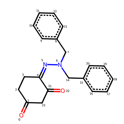 O=C1CC/C(=N/N(Cc2ccccc2)Cc2ccccc2)C(=O)C1